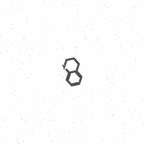 c1cc[c]2c(c1)CC[CH2][Y]2